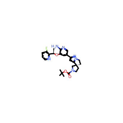 C[C@@H](Oc1cc(-c2cc3n(n2)CC[C@@]32CCN(C(=O)OC(C)(C)C)C2)cnc1N)c1ncccc1F